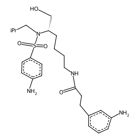 CC(C)CN([C@H](CO)CCCCNC(=O)CCc1cccc(N)c1)S(=O)(=O)c1ccc(N)cc1